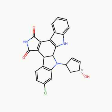 O=C1NC(=O)C2=C1c1c([nH]c3ccccc13)C1C2c2ccc(Cl)cc2N1C1C=C[C@H](O)C1